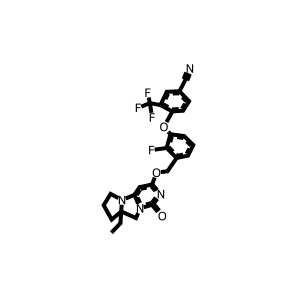 CCC12CCCN1c1cc(OCc3cccc(Oc4ccc(C#N)cc4C(F)(F)F)c3F)nc(=O)n1C2